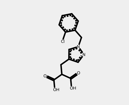 O=C(O)C(Cc1cnn(Cc2ccccc2Cl)c1)C(=O)O